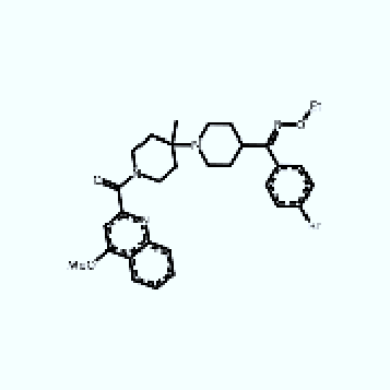 CCO/N=C(\c1ccc(Br)cc1)C1CCN(C2(C)CCN(C(=O)c3cc(OC)c4ccccc4n3)CC2)CC1